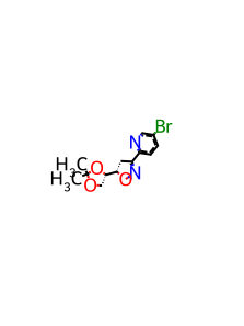 CC1(C)OC[C@@H]([C@@H]2CC(c3ccc(Br)cn3)=NO2)O1